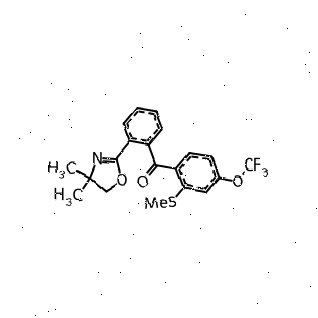 CSc1cc(OC(F)(F)F)ccc1C(=O)c1ccccc1C1=NC(C)(C)CO1